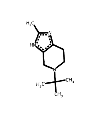 Cc1nc2c([nH]1)CN(C(C)(C)C)CC2